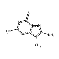 Cn1c(N)nn2c(=S)nc(N)cc12